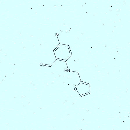 O=Cc1cc(Br)ccc1NCc1ccco1